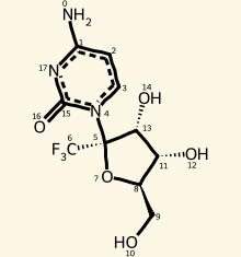 Nc1ccn([C@]2(C(F)(F)F)O[C@H](CO)[C@@H](O)[C@H]2O)c(=O)n1